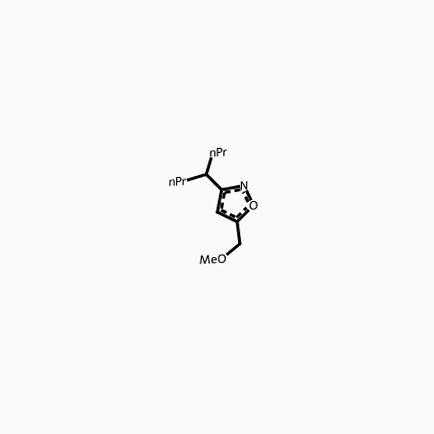 CCCC(CCC)c1cc(COC)on1